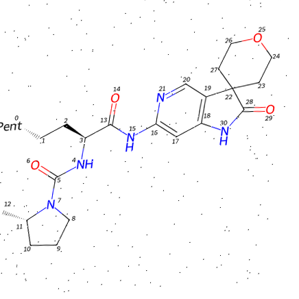 CCC[C@@H](C)CC[C@H](NC(=O)N1CCC[C@@H]1C)C(=O)Nc1cc2c(cn1)C1(CCOCC1)C(=O)N2